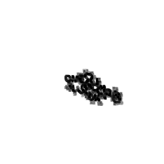 COCCN(C)C/C=C/C(=O)N1CCC(N(C)c2nc(OCC34CCCN3CCC4)nc3c(F)c(-c4cccc5cccc(Cl)c45)ncc23)C1